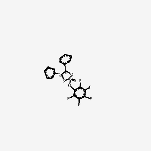 Fc1c(F)c(F)c(OP2(=S)O[C@H](c3ccccc3)[C@H](c3ccccc3)S2)c(F)c1F